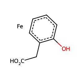 O=C(O)Cc1ccccc1O.[Fe]